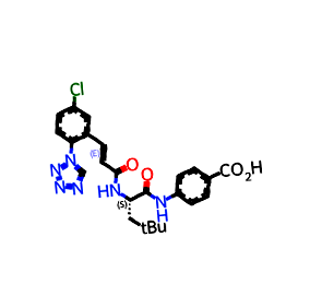 CC(C)(C)C[C@H](NC(=O)/C=C/c1cc(Cl)ccc1-n1cnnn1)C(=O)Nc1ccc(C(=O)O)cc1